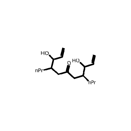 C=CC(O)C(CCC)CC(=O)CC(CCC)C(O)C=C